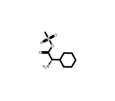 CS(=O)(=O)OC(=O)[C@H](N)C1CCCCC1